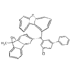 CC1(C)c2ccccc2-c2cc(N(c3cc(Cl)cc(-c4ccccc4)c3)c3cccc4oc5ccccc5c34)ccc21